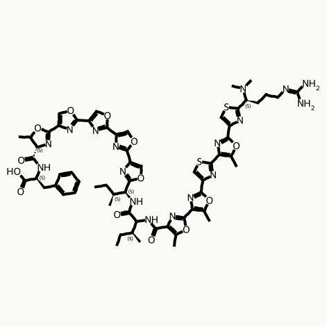 CC[C@H](C)C(NC(=O)c1nc(-c2nc(-c3csc(-c4nc(-c5csc([C@H](CCCN=C(N)N)N(C)C)n5)oc4C)n3)oc2C)oc1C)C(=O)N[C@H](c1nc(-c2nc(-c3nc(-c4nc(C5=N[C@H](C(=O)N[C@@H](Cc6ccccc6)C(=O)O)C(C)O5)co4)co3)co2)co1)[C@@H](C)CC